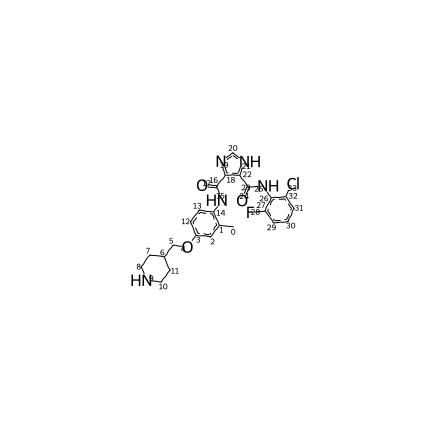 Cc1cc(OCC2CCNCC2)ccc1NC(=O)c1nc[nH]c1C(=O)Nc1c(F)cccc1Cl